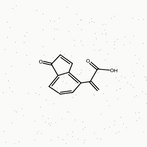 C=C(C(=O)O)c1cccc2c1C=CC2=O